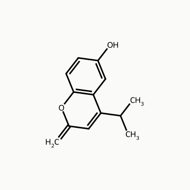 C=C1C=C(C(C)C)c2cc(O)ccc2O1